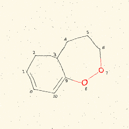 C1=CCC2CCCOOC2=C1